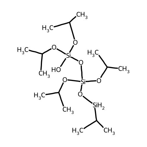 CC(C)O[Si](O)(OC(C)C)O[Si](O[SiH2]C(C)C)(OC(C)C)OC(C)C